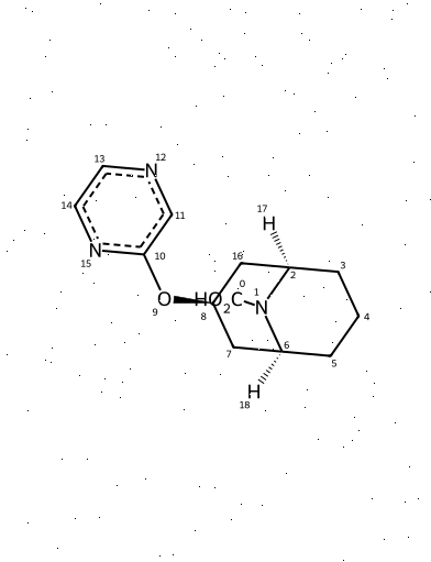 O=C(O)N1[C@@H]2CCC[C@H]1C[C@@H](Oc1cnccn1)C2